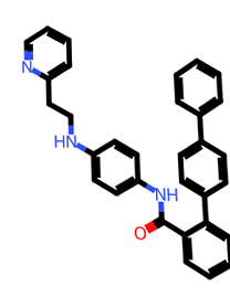 O=C(Nc1ccc(NCCc2ccccn2)cc1)c1ccccc1-c1ccc(-c2ccccc2)cc1